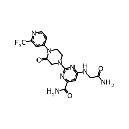 NC(=O)CNc1cc(C(N)=O)nc(N2CCN(c3ccnc(C(F)(F)F)c3)C(=O)C2)n1